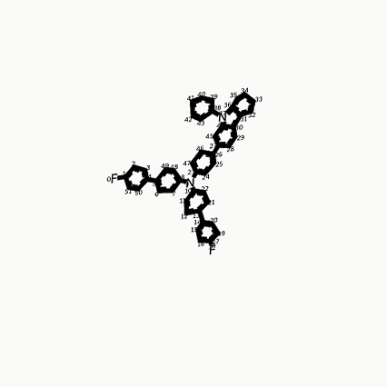 Fc1ccc(-c2ccc(N(c3ccc(-c4ccc(F)cc4)cc3)c3ccc(-c4ccc5c6ccccc6n(-c6ccccc6)c5c4)cc3)cc2)cc1